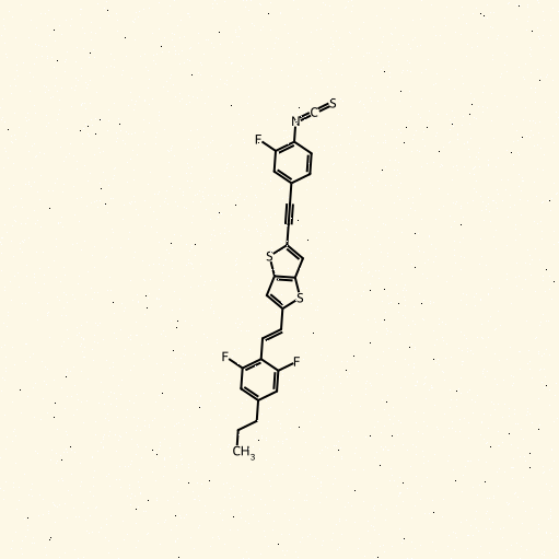 CCCc1cc(F)c(/C=C/c2cc3sc(C#Cc4ccc(N=C=S)c(F)c4)cc3s2)c(F)c1